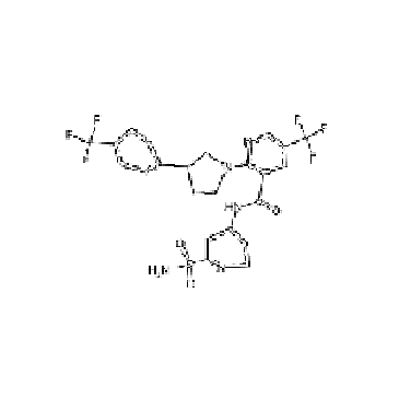 NS(=O)(=O)c1cc(NC(=O)c2cc(C(F)(F)F)cnc2N2CCC(c3ccc(C(F)(F)F)cc3)C2)ccn1